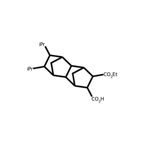 CCOC(=O)C1C2CC(C1C(=O)O)C1C3CC(C(C(C)C)C3C(C)C)C21